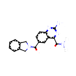 CCN(CC)C(=O)c1nc(N)nc2ccc(C(=O)N3Cc4ccccc4C3)cc12